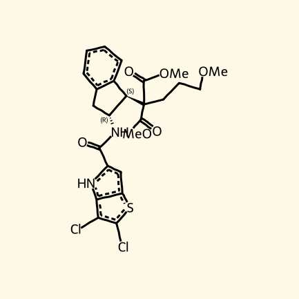 COCCCC(C(=O)OC)(C(=O)OC)[C@@H]1c2ccccc2C[C@H]1NC(=O)c1cc2sc(Cl)c(Cl)c2[nH]1